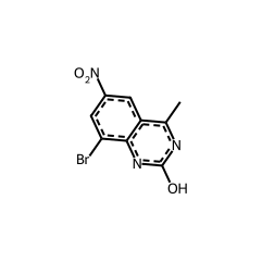 Cc1nc(O)nc2c(Br)cc([N+](=O)[O-])cc12